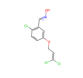 O/N=C/c1cc(OCC=C(Cl)Cl)ccc1Cl